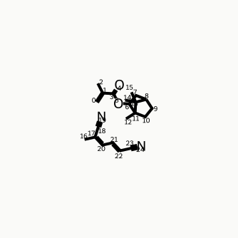 C=C(C)C(=O)OC1CC2CCC1(C)C2(C)C.CC(C#N)=CC=CC#N